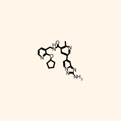 Cc1ncc(-c2ccn3nc(N)nc3c2)cc1C(=O)NCc1cccnc1OC1CCCC1